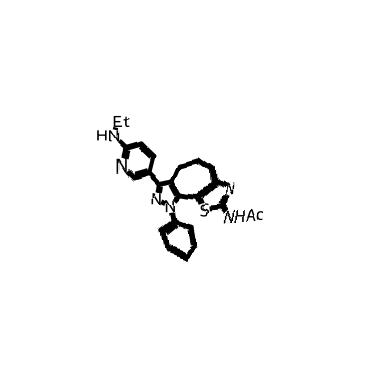 CCNc1ccc(-c2nn(-c3ccccc3)c3c2CCCc2nc(NC(C)=O)sc2-3)cn1